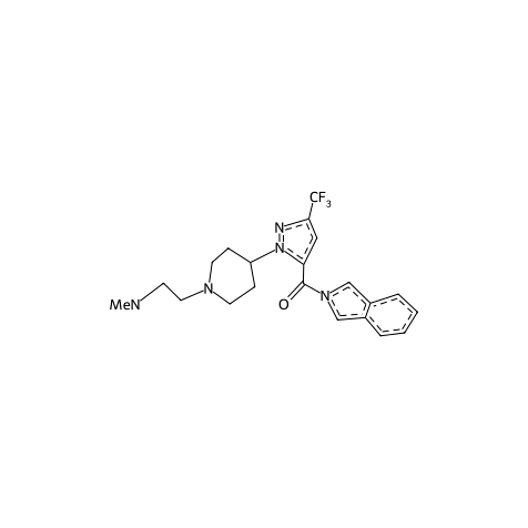 CNCCN1CCC(n2nc(C(F)(F)F)cc2C(=O)n2cc3ccccc3c2)CC1